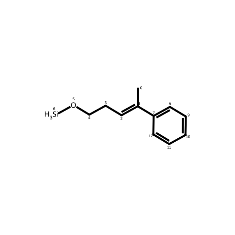 CC(=CCCO[SiH3])c1ccccc1